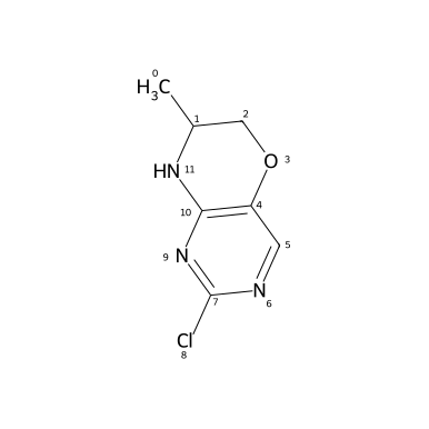 CC1COc2cnc(Cl)nc2N1